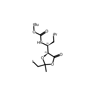 CC(C)C[C@H](NC(=O)OC(C)(C)C)[C@@H]1OC(C)(CI)OC1=O